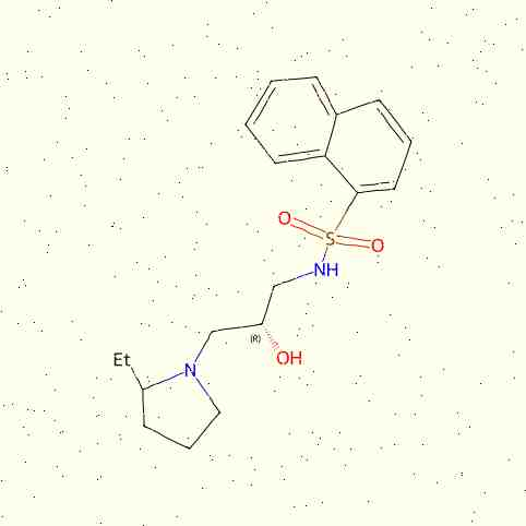 CCC1CCCN1C[C@@H](O)CNS(=O)(=O)c1cccc2ccccc12